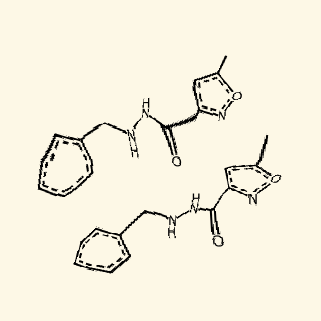 Cc1cc(C(=O)NNCc2ccccc2)no1.Cc1cc(C(=O)NNCc2ccccc2)no1